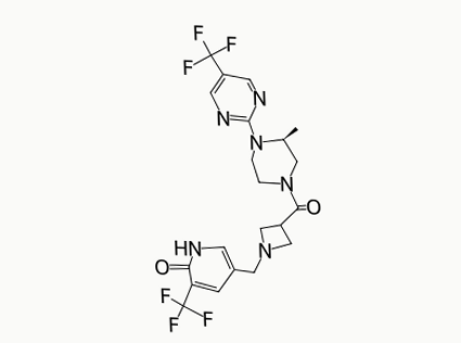 C[C@H]1CN(C(=O)C2CN(Cc3c[nH]c(=O)c(C(F)(F)F)c3)C2)CCN1c1ncc(C(F)(F)F)cn1